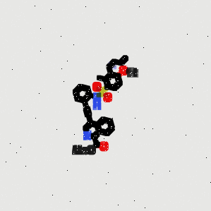 C=C/C=C\c1c(OCC)ccc(S(=O)(=O)Nc2ccccc2C#Cc2cnc(C(=O)OC)c3ccccc23)c1C